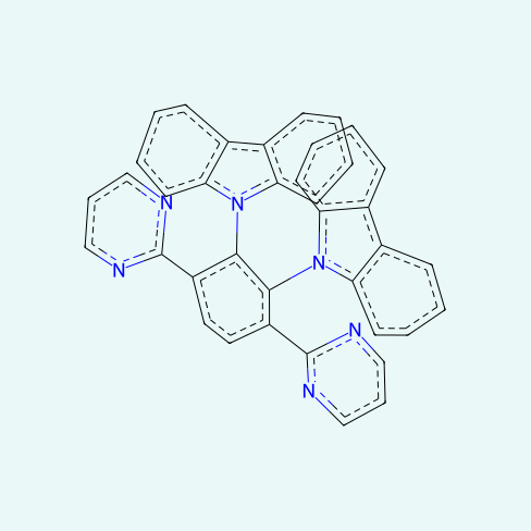 c1cnc(-c2ccc(-c3ncccn3)c(-n3c4ccccc4c4ccccc43)c2-n2c3ccccc3c3ccccc32)nc1